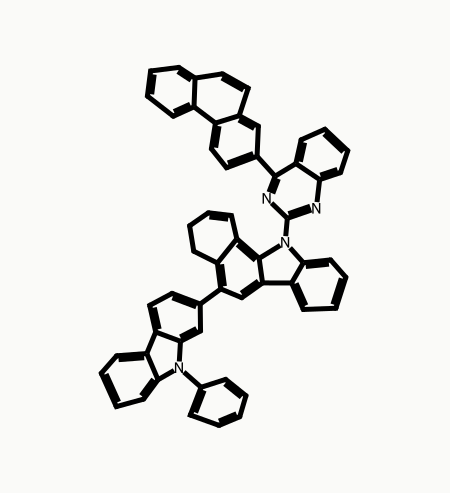 C1=Cc2c(c(-c3ccc4c5ccccc5n(-c5ccccc5)c4c3)cc3c4ccccc4n(-c4nc(-c5ccc6c(ccc7ccccc76)c5)c5ccccc5n4)c23)CC1